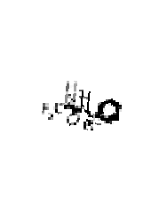 NC(C(=O)N[S+]([O-])c1ccccc1)C(F)(F)F